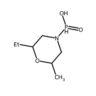 CCC1CN([PH](=O)O)CC(C)O1